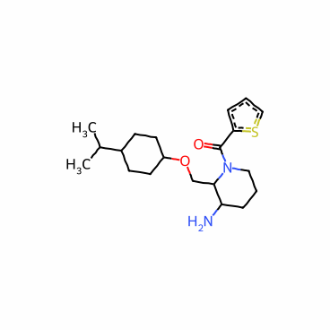 CC(C)C1CCC(OCC2C(N)CCCN2C(=O)c2cccs2)CC1